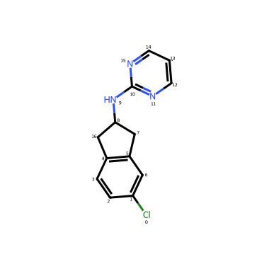 Clc1ccc2c(c1)CC(Nc1nc[c]cn1)C2